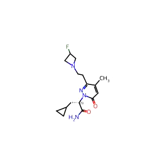 Cc1cc(=O)n([C@@H](CC2CC2)C(N)=O)nc1CCN1CC(F)C1